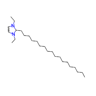 CCCCCCCCCCCCCCCCCCC1N(CC)C=CN1CC